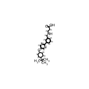 CC(C)(C)[C@H]1CC[C@H](Oc2cnc(-c3cccc(CNCCC(=O)O)c3)nc2)CC1